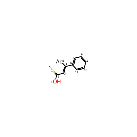 CC(=O)C(=CC(O)=S)c1ccccc1